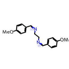 COc1ccc(/C=N\CC/N=C\c2ccc(OC)cc2)cc1